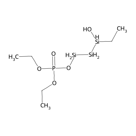 CCOP(=O)(OCC)O[SiH2][SiH2][SiH](O)CC